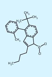 CCCCC1=Cc2c(ccc(C(C)(C)C)c2-c2ccccc2C)[CH]1[Zr]([Cl])[Cl]